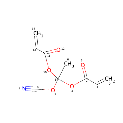 C=CC(=O)OC(C)(OC#N)OC(=O)C=C